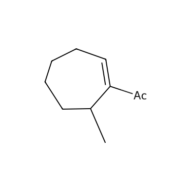 CC(=O)C1=CCCCCC1C